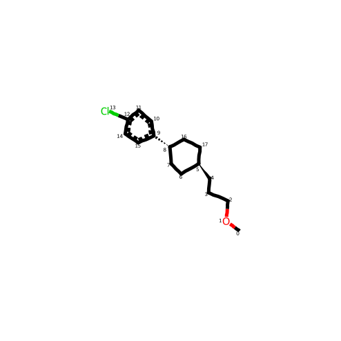 COCCC[C@H]1CC[C@H](c2ccc(Cl)cc2)CC1